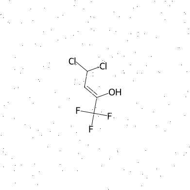 OC(=CC(Cl)Cl)C(F)(F)F